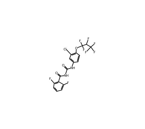 O=C(NC(=O)c1c(F)cccc1F)Nc1ccc(OC(F)(F)C(F)C(F)(F)F)c(Cl)c1